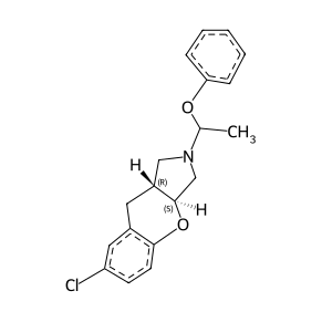 CC(Oc1ccccc1)N1C[C@H]2Cc3cc(Cl)ccc3O[C@@H]2C1